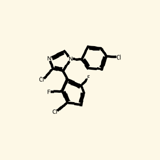 Fc1ccc(Cl)c(F)c1-c1c(Cl)ncn1-c1ccc(Cl)cc1